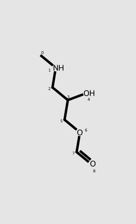 CNCC(O)COC=O